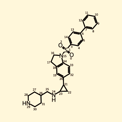 O=S(=O)(c1ccc(-c2ccccc2)cc1)N1CCc2cc(C3CC3NCC3CCNCC3)ccc21